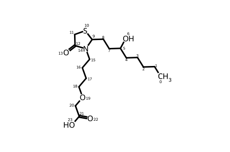 CCCCCC(O)CCC1SCC(=O)N1CCCCOCC(=O)O